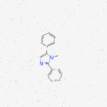 Cn1c(-c2cc[c]cc2)cnc1-c1cc[c]cc1